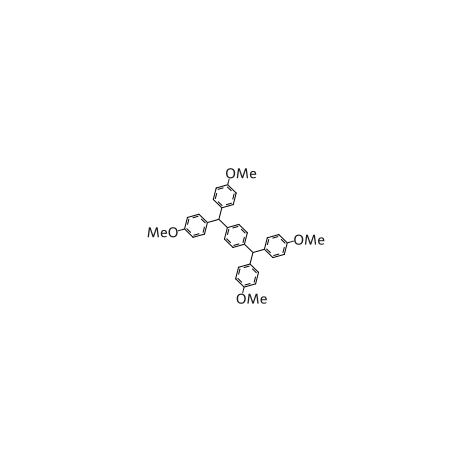 COc1ccc(C(c2ccc(OC)cc2)c2ccc(C(c3ccc(OC)cc3)c3ccc(OC)cc3)cc2)cc1